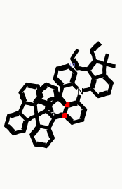 C=CC1=C(/C=C\C)c2c(N(c3ccccc3-c3ccc4c(c3)C3(c5ccccc5-c5ccccc53)c3ccccc3-4)c3cccc4oc5ccccc5c34)cccc2C1(C)C